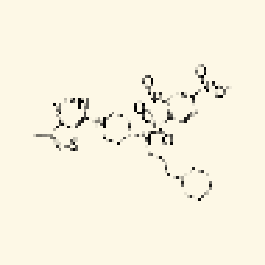 Cc1csc2c(N3CCC(N(CCCC4CCCCC4)S(=O)(=O)c4ccc([N+](=O)[O-])cc4[N+](=O)[O-])CC3)ncnc12